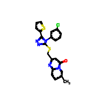 Cc1ccc2nc(CSc3nnc(-c4cccs4)n3-c3cccc(Cl)c3)cc(=O)n2c1